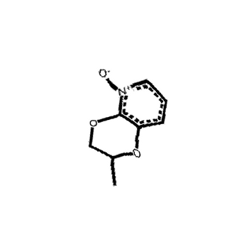 CC1COc2c(ccc[n+]2[O-])O1